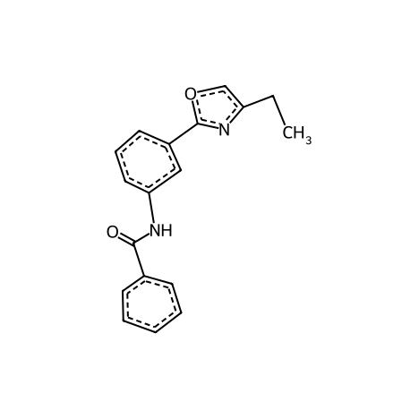 CCc1coc(-c2cccc(NC(=O)c3ccccc3)c2)n1